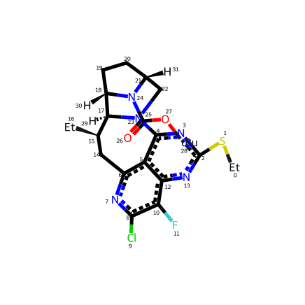 CCSc1nc2c3c(nc(Cl)c(F)c3n1)C[C@@H](CC)[C@H]1[C@@H]3CC[C@H](CN21)N3C(=O)OC(C)(C)C